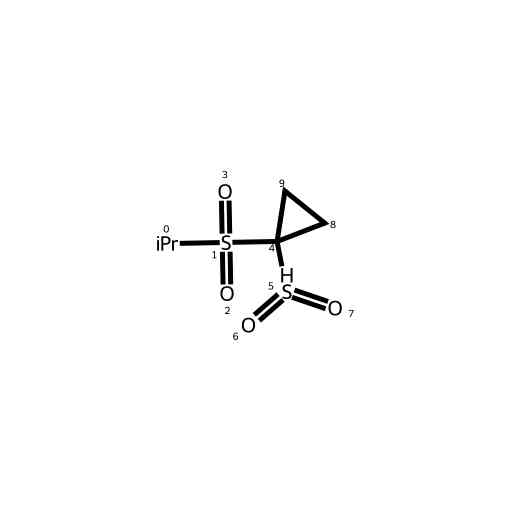 CC(C)S(=O)(=O)C1([SH](=O)=O)CC1